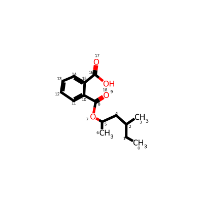 CCC(C)CC(C)OC(=O)c1ccccc1C(=O)O